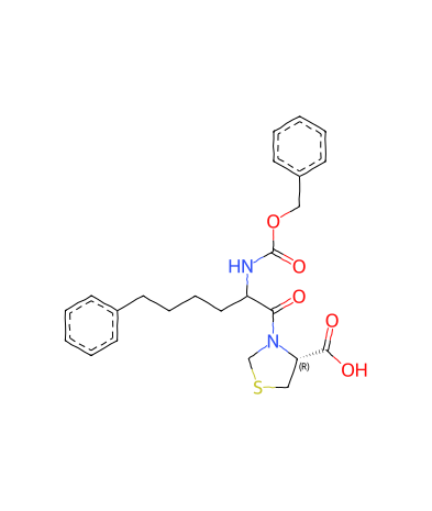 O=C(NC(CCCCc1ccccc1)C(=O)N1CSC[C@H]1C(=O)O)OCc1ccccc1